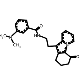 CN(C)c1cccc(C(=O)NCCc2c3c(n4ccccc24)C(=O)CCC3)c1